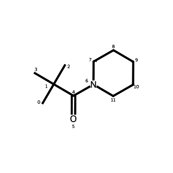 CC(C)(C)C(=O)N1[CH]CCCC1